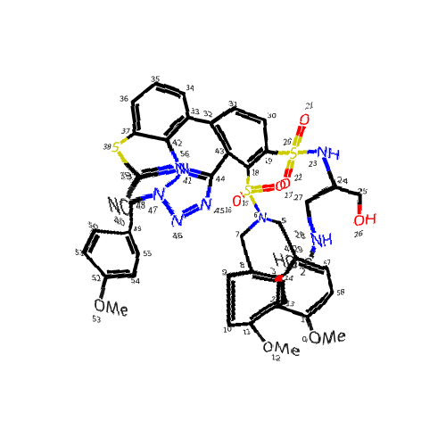 COc1ccc(CN(Cc2ccc(OC)cc2)S(=O)(=O)c2c(S(=O)(=O)NC(CO)CNC(=O)O)ccc(-c3cccc4sc(C#N)nc34)c2-c2nnn(Cc3ccc(OC)cc3)n2)cc1